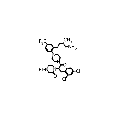 CCN1CCN(C(Cc2ccc(Cl)cc2Cl)C(=O)N2CCN(c3ccc(C(F)(F)F)cc3CCC(C)CN)CC2)C(=O)C1